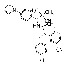 C[C@H](NC(c1ccc(-n2cccc2)cc1)C(C)(C)C#N)[C@@H](Cc1ccc(Cl)cc1)c1cccc(C#N)c1